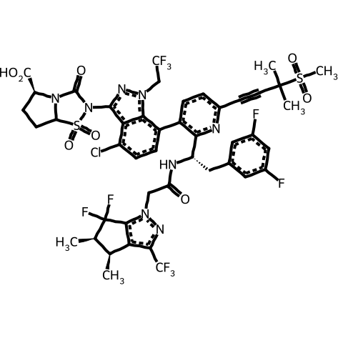 C[C@@H]1c2c(C(F)(F)F)nn(CC(=O)N[C@@H](Cc3cc(F)cc(F)c3)c3nc(C#CC(C)(C)S(C)(=O)=O)ccc3-c3ccc(Cl)c4c(N5C(=O)N6C(CC[C@H]6C(=O)O)S5(=O)=O)nn(CC(F)(F)F)c34)c2C(F)(F)[C@@H]1C